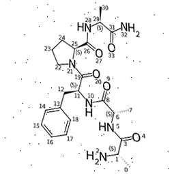 C[C@H](N)C(=O)N[C@@H](C)C(=O)N[C@@H](Cc1ccccc1)C(=O)N1CCC[C@H]1C(=O)N[C@@H](C)C(N)=O